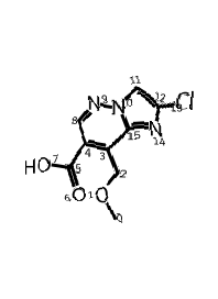 COCc1c(C(=O)O)cnn2cc(Cl)nc12